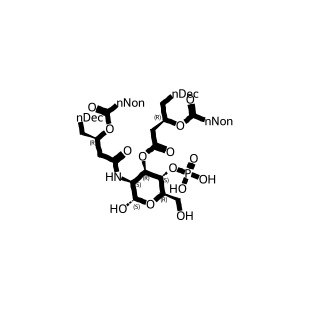 CCCCCCCCCCC[C@H](CC(=O)N[C@H]1[C@@H](OC(=O)C[C@@H](CCCCCCCCCCC)OC(=O)CCCCCCCCC)[C@H](OP(=O)(O)O)[C@@H](CO)O[C@@H]1O)OC(=O)CCCCCCCCC